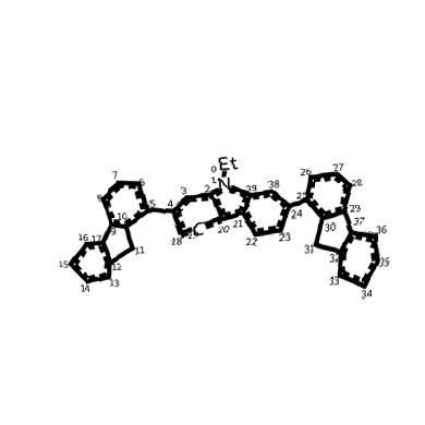 CCn1c2cc(-c3cccc4c3Cc3ccccc3-4)ccc2c2ccc(-c3cccc4c3Cc3ccccc3-4)cc21